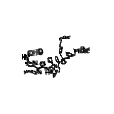 CCCCCCCCCCCCOCC(COCCCCCCCCCCCC)OC(=O)C1=CC[S+]([O-])[C@H]2C(NC(=O)C(=NOC)c3csc(NC=O)n3)C(=O)N12